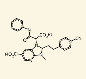 CCOC(=O)C(C(=O)[N]c1ccccc1)N1c2cc(C(=O)O)cnc2N(C)C1CCc1ccc(C#N)cc1